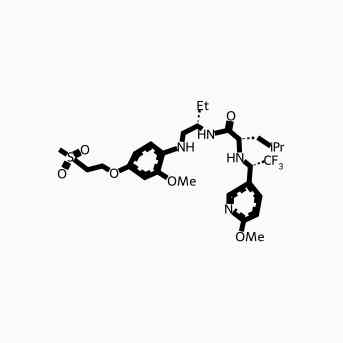 CC[C@@H](CNc1ccc(OCCS(C)(=O)=O)cc1OC)NC(=O)[C@H](CC(C)C)N[C@@H](c1ccc(OC)nc1)C(F)(F)F